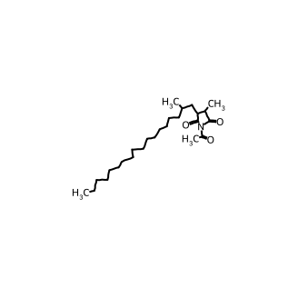 CCCCCCCCCCCCCCCCC(C)CC1C(=O)N(C(C)=O)C(=O)C1C